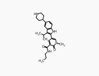 CCCNC(=O)c1cc(-c2[nH]c3ccc(C4CCNCC4)cc3c2C(C)C)cn(C)c1=O